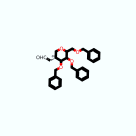 O=CC[C@@H]1COC(COCc2ccccc2)C(OCc2ccccc2)C1OCc1ccccc1